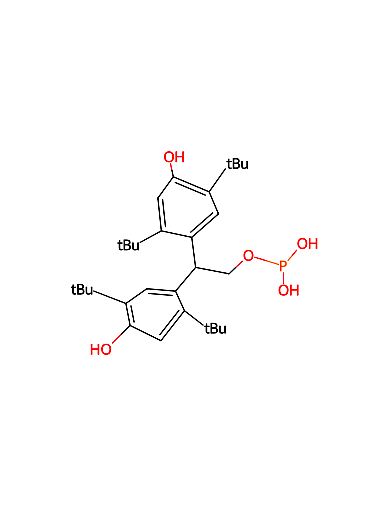 CC(C)(C)c1cc(C(COP(O)O)c2cc(C(C)(C)C)c(O)cc2C(C)(C)C)c(C(C)(C)C)cc1O